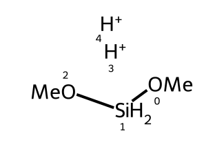 CO[SiH2]OC.[H+].[H+]